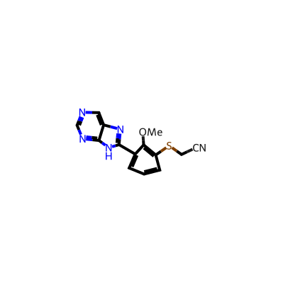 COc1c(SCC#N)cccc1-c1nc2cncnc2[nH]1